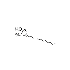 CCCCCCCCCCCCSCC(=C=S)C(O)=S